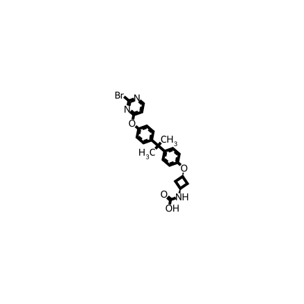 CC(C)(c1ccc(Oc2ccnc(Br)n2)cc1)c1ccc(O[C@H]2C[C@H](NC(=O)O)C2)cc1